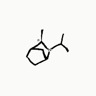 CC(C)N1C2CCC(C2)[C@H]1C